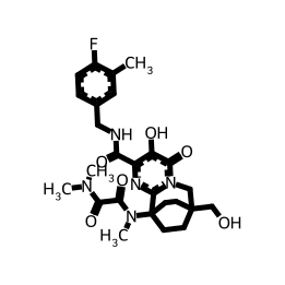 Cc1cc(CNC(=O)c2nc3n(c(=O)c2O)CC2(CO)CCC3(N(C)C(=O)C(=O)N(C)C)CC2)ccc1F